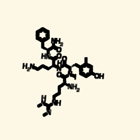 C/N=C(\NC)NCCC[C@H](N)C(=O)N(I)[C@@H](Cc1ccc(O)cc1C)C(=O)N[C@@H](CCCN)C(=O)N[C@@H](Cc1ccccc1)C(N)=O